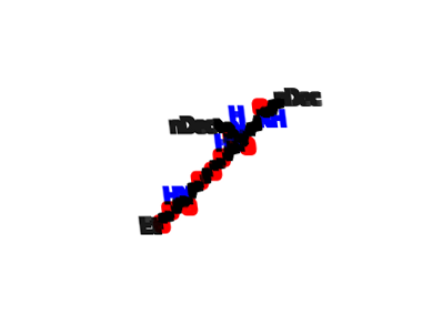 CCCCCCCCCCCCCC(=O)NCCCC[C@@H](NC(=O)CCCCCCCCCCCCC)C(=O)NCCCOCCOCCOCCCNC(=O)CCOCCOCC